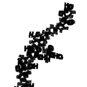 C[C@H]1CN(C2CCN(c3ccc4c(c3)CN(C3CCC(=O)NC3=O)C4=O)CC2)CCN1c1ccc(Nc2nc(-c3ccnc(N4CCn5c(cc6c5CC(C)(C)C6)C4=O)c3CO)cn(C)c2=O)cc1C=CC(=O)NC=O